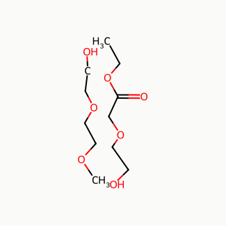 CCOC(=O)COCCO.COCCOCCO